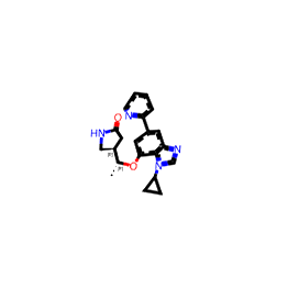 C[C@@H](Oc1cc(-c2ccccn2)cc2ncn(C3CC3)c12)[C@H]1CNC(=O)C1